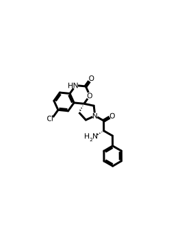 N[C@@H](Cc1ccccc1)C(=O)N1CC[C@@]2(C1)OC(=O)Nc1ccc(Cl)cc12